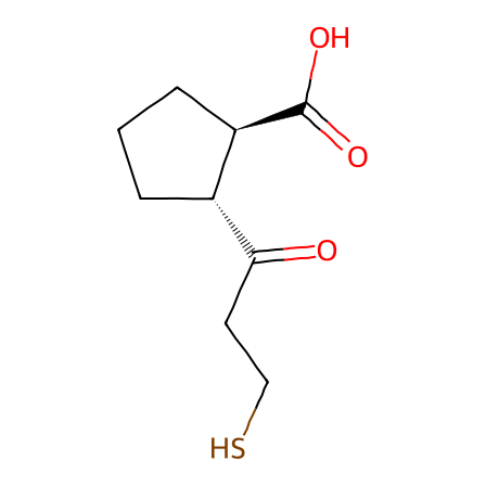 O=C(O)[C@@H]1CCC[C@H]1C(=O)CCS